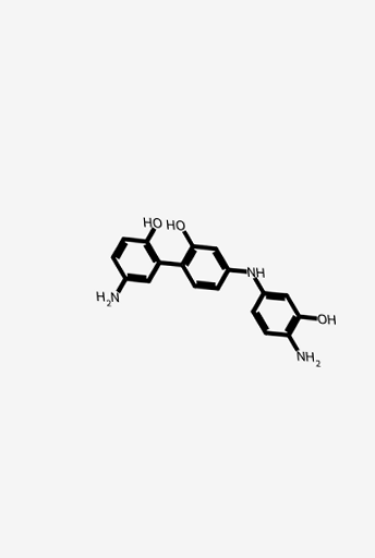 Nc1ccc(O)c(-c2ccc(Nc3ccc(N)c(O)c3)cc2O)c1